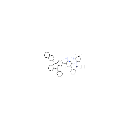 C=C(c1ccccc1)N(c1ccc(-c2ccc3c(-c4ccc5ccccc5c4)c4ccccc4c(-c4ccccc4)c3c2)cc1)c1ccccc1N